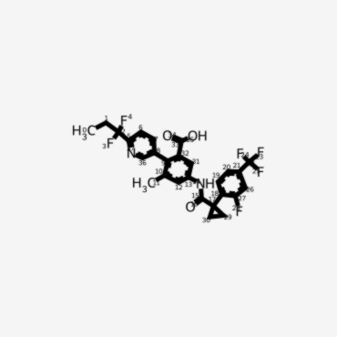 CCC(F)(F)c1ccc(-c2c(C)cc(NC(=O)C3(c4ccc(C(F)(F)F)cc4F)CC3)cc2C(=O)O)cn1